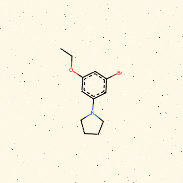 CCOc1cc(Br)cc(N2CCCC2)c1